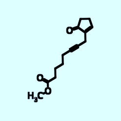 COC(=O)CCCCC#CCC1=CCCC1=O